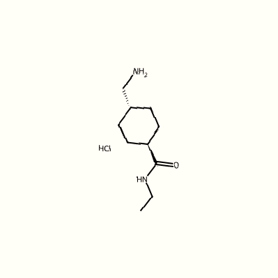 CCNC(=O)[C@H]1CC[C@H](CN)CC1.Cl